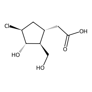 O=C(O)C[C@H]1C[C@H](Cl)[C@@H](O)[C@@H]1CO